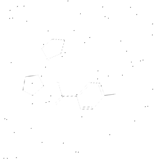 O=C(N[C@@H]1CCC[C@@H]1N1CCCC1)c1ccc(C(F)(F)F)cc1